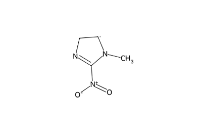 CN1[CH]CN=C1[N+](=O)[O-]